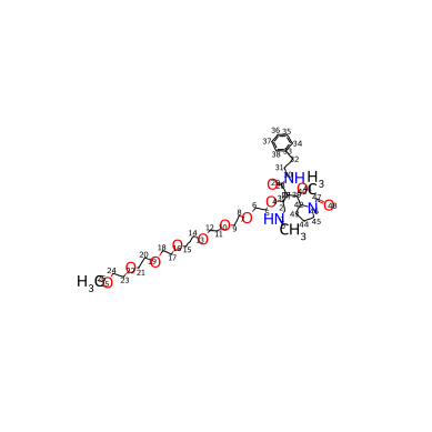 CNCC(OCCOCCOCCOCCOCCOCCOCCOC)[C@@H](C(=O)NCCc1ccccc1)C(OC)C1CCCN1C=O